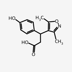 Cc1noc(C)c1C(CC(=O)O)c1ccc(O)cc1